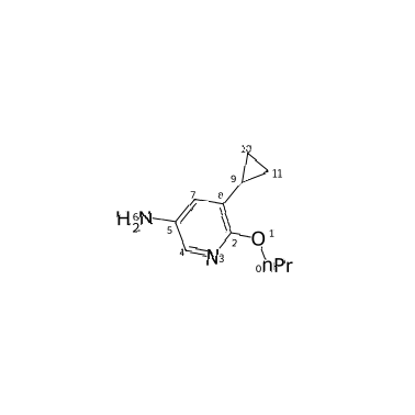 CCCOc1ncc(N)cc1C1CC1